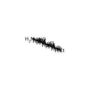 CCNC(=O)CC(=O)NCCN(CCNC(=O)CC(=O)NCCN(CCNC(=O)CC(=O)NCCNCCN)CC(O)CO)CC(O)CCl